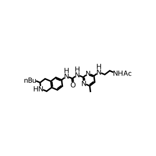 CCCCC1Cc2cc(NC(=O)Nc3nc(C)cc(NCCNC(C)=O)n3)ccc2CN1